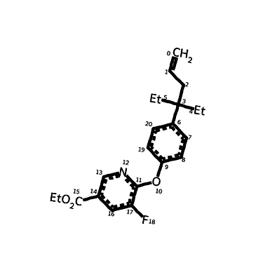 C=CCC(CC)(CC)c1ccc(Oc2ncc(C(=O)OCC)cc2F)cc1